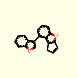 C1=Cc2oc3cccc(-c4coc5ccccc45)c3c2C1